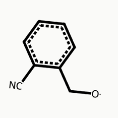 N#Cc1ccccc1C[O]